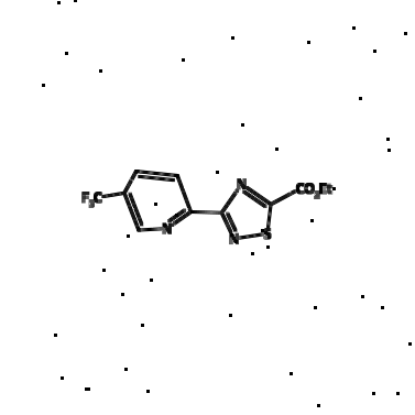 CCOC(=O)c1nc(-c2ccc(C(F)(F)F)cn2)ns1